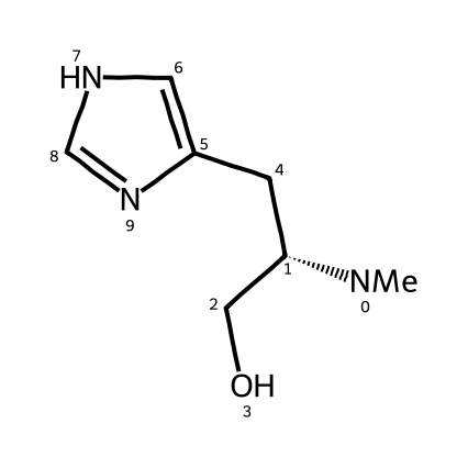 CN[C@H](CO)Cc1c[nH]cn1